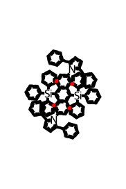 c1ccc(-c2ccc(-c3ccccc3)n2-c2ccc3c([Si](c4ccccc4)(c4ccccc4)c4ccccc4)c4cc(-n5c(-c6ccccc6)ccc5-c5ccccc5)ccc4c([Si](c4ccccc4)(c4ccccc4)c4ccccc4)c3c2)cc1